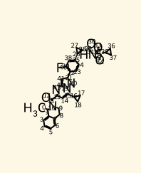 C[C@@H]1c2ccccc2CCN1C(=O)c1cc(C2CC2)n2nc(-c3ccc([C@H]4C[C@@H]4C(=O)NS(=O)(=O)C4CC4)cc3F)cc2n1